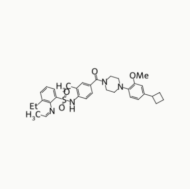 C/C=N\c1c(CC)cccc1S(=O)(=O)Nc1ccc(C(=O)N2CCN(c3ccc(C4CCC4)cc3OC)CC2)cc1C